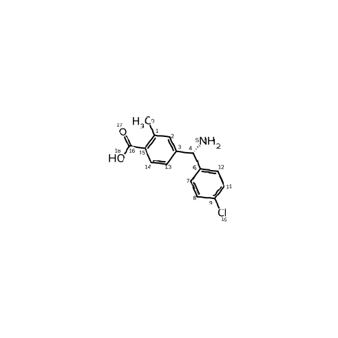 Cc1cc([C@H](N)c2ccc(Cl)cc2)ccc1C(=O)O